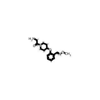 CON=Cc1ccccc1OC1CCN(C(=O)CN)CC1